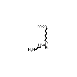 CCCCCCCCCCCCCCCOC(CC)NCCCN